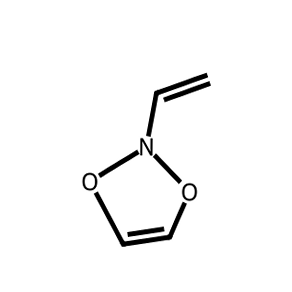 C=CN1OC=CO1